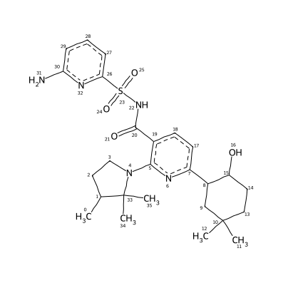 CC1CCN(c2nc(C3CC(C)(C)CCC3O)ccc2C(=O)NS(=O)(=O)c2cccc(N)n2)C1(C)C